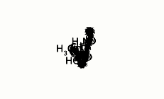 CC(C)(C)OC(=O)N[C@H](CNN(CCCCCC(N)C(=O)OCc1ccccc1)C(=O)OCc1ccccc1)CC(=O)O